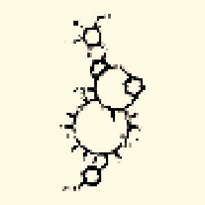 COc1ccc(CC2C(=O)N[C@@H](C)C(=O)N(C)[C@H]3Cc4ccc(cc4)Oc4cc(ccc4O[C@@H]4O[C@H](CO)[C@@H](O)[C@H](O)[C@H]4O)C(OC(C)=O)C(NC3=O)C(=O)NC(C)C(=O)NC(C)C(=O)N2C)cc1